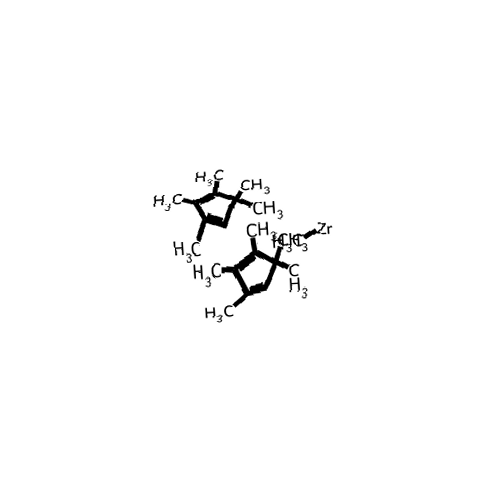 CC1=CC(C)(C)C(C)=C1C.CC1=CC(C)(C)C(C)=C1C.[CH3][Zr]